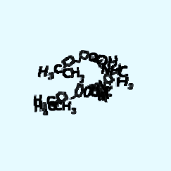 CCc1cc(CC)c(NCC(O)COc2cccc(Cc3cccc(C(C)(C)C)c3)c2)cc1NCC(O)COc1cccc(Cc2cccc(C(C)C)c2)c1